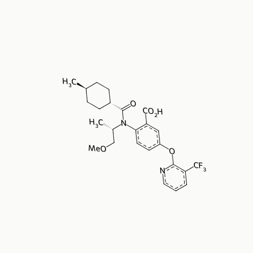 COC[C@H](C)N(c1ccc(Oc2ncccc2C(F)(F)F)cc1C(=O)O)C(=O)[C@H]1CC[C@H](C)CC1